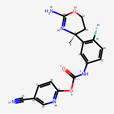 C[C@@]1(c2cc(NC(=O)Oc3ccc(C#N)cn3)ccc2F)CCOC(N)=N1